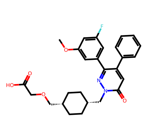 COc1cc(F)cc(-c2nn(C[C@H]3CC[C@@H](COCC(=O)O)CC3)c(=O)cc2-c2ccccc2)c1